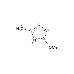 COc1c[c]c(C)[nH]1